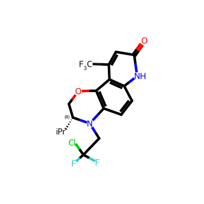 CC(C)[C@@H]1COc2c(ccc3[nH]c(=O)cc(C(F)(F)F)c23)N1CC(F)(F)Cl